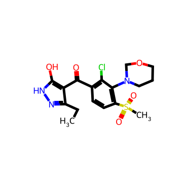 CCc1n[nH]c(O)c1C(=O)c1ccc(S(C)(=O)=O)c(N2CCCOC2)c1Cl